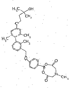 Cc1cc(OCCC(C)(C)O)cc(C)c1-c1cccc(COc2ccc(B3OC(=O)CN(C)CC(=O)O3)cc2)c1C